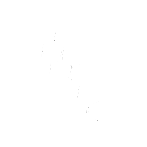 O=C(NCCc1cccs1)c1cc(O)ccc1O